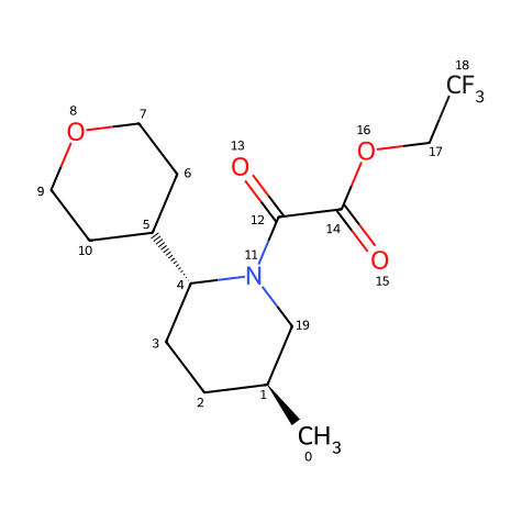 C[C@H]1CC[C@H](C2CCOCC2)N(C(=O)C(=O)OCC(F)(F)F)C1